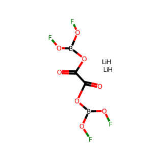 O=C(OB(OF)OF)C(=O)OB(OF)OF.[LiH].[LiH]